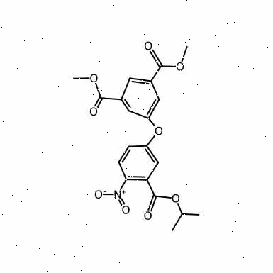 COC(=O)c1cc(Oc2ccc([N+](=O)[O-])c(C(=O)OC(C)C)c2)cc(C(=O)OC)c1